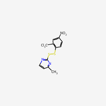 Cc1ccnc(SSc2ccc([N+](=O)[O-])cc2C(Cl)(Cl)Cl)n1